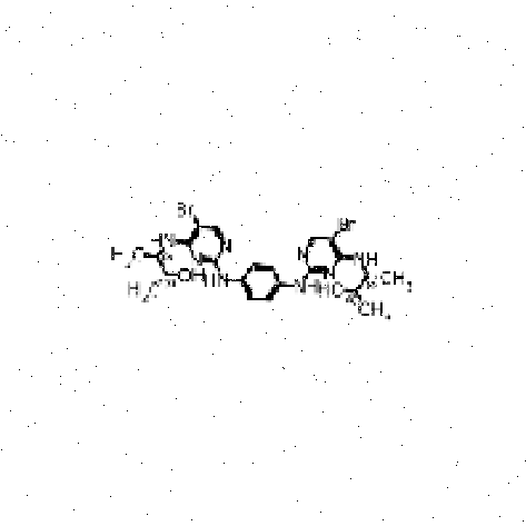 C[C@@H](O)[C@@H](C)Nc1nc(Nc2ccc(Nc3ncc(Br)c(N[C@H](C)[C@@H](C)O)n3)cc2)ncc1Br